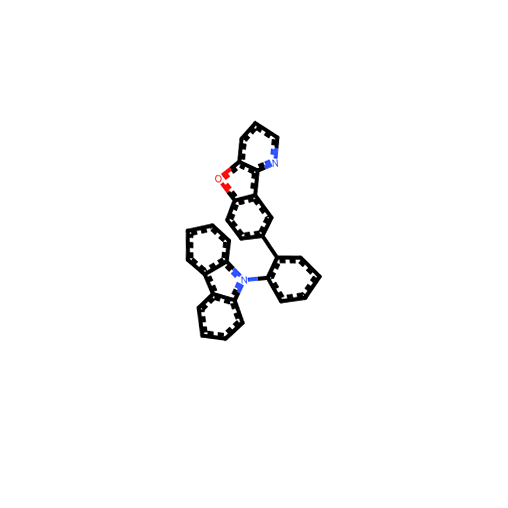 c1ccc(-n2c3ccccc3c3ccccc32)c(-c2ccc3oc4cccnc4c3c2)c1